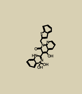 O=c1c(C2=NS(O)(O)c3ccccc3N2)c(O)c2cccnc2n1Cc1cc2ccccc2s1